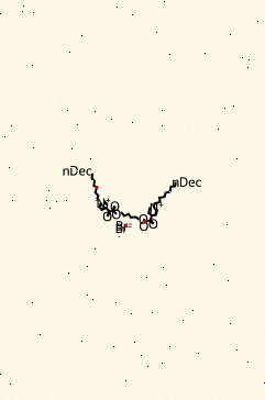 CCCCCCCCCCCCCCCCCC[n+]1ccc(C(=O)C(=O)OCCCCCCOC(=O)C(=O)c2cc[n+](CCCCCCCCCCCCCCCCCC)cc2)cc1.[Br-].[Br-]